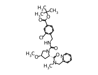 CO[C@@H]1C[C@@H](C(=O)N(C)Cc2ccccn2)N(C(=O)NCc2ccc(C(=O)OC(C)(C)C)cc2Cl)C1